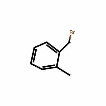 Cc1ccccc1[CH]Br